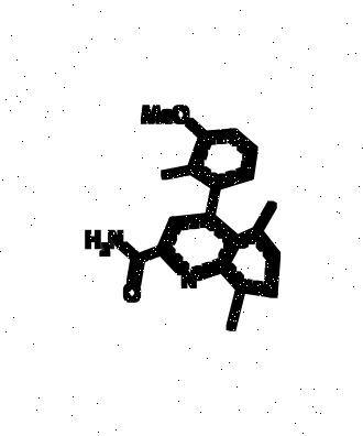 COc1cccc(-c2cc(C(N)=O)nc3c(C)ccc(C)c23)c1C